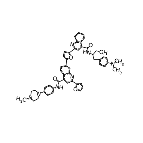 CN1CCN(c2ccc(NC(=O)c3cc(-c4ccco4)nc4cc(-c5ccc(-c6cc(C(=O)NC(CO)Cc7ccc(N(C)C)cc7)c7ccccc7n6)o5)ccc34)cc2)CC1